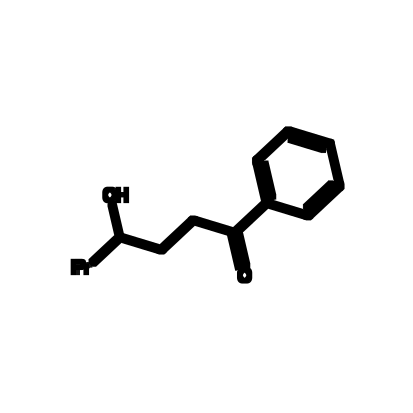 CC(C)C(O)CCC(=O)c1ccccc1